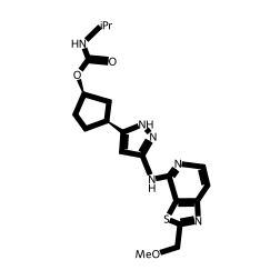 COCc1nc2ccnc(Nc3cc([C@H]4CC[C@@H](OC(=O)NC(C)C)C4)[nH]n3)c2s1